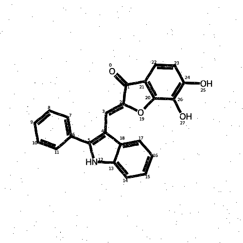 O=C1/C(=C/c2c(-c3ccccc3)[nH]c3ccccc23)Oc2c1ccc(O)c2O